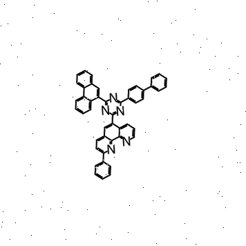 c1ccc(-c2ccc(-c3nc(-c4cc5ccccc5c5ccccc45)nc(-c4cc5ccc(-c6ccccc6)nc5c5ncccc45)n3)cc2)cc1